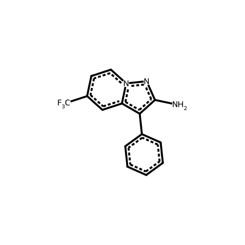 Nc1nn2ccc(C(F)(F)F)cc2c1-c1ccccc1